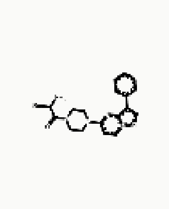 CC(C)(C)C(N)C(=O)N1CCN(c2ccn3ncc(-c4ccccc4)c3n2)CC1